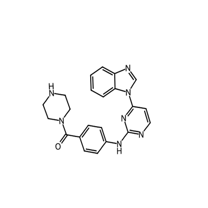 O=C(c1ccc(Nc2nccc(-n3cnc4ccccc43)n2)cc1)N1CCNCC1